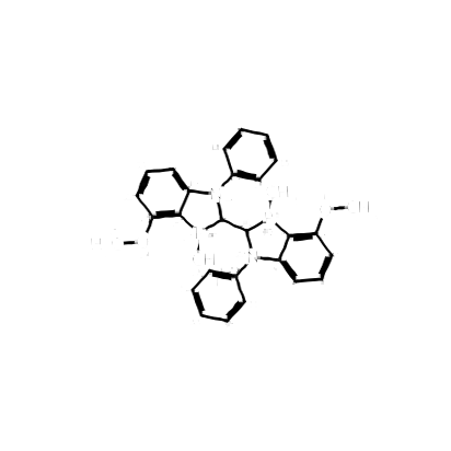 COc1cccc2c1[P@](C)C(C1N(c3ccccc3)c3cccc(OC)c3[P@]1C)N2c1ccccc1